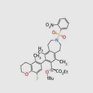 CCOC(=O)[C@@H](OC(C)(C)C)c1c(C)c2c(c(C)c1-c1cc(F)c3c(c1C)CCCO3)CCN(S(=O)(=O)c1ccccc1[N+](=O)[O-])CC2